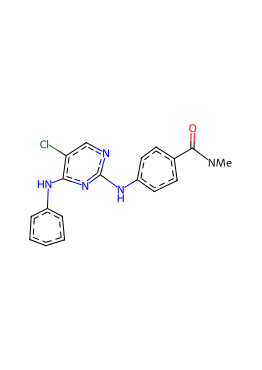 CNC(=O)c1ccc(Nc2ncc(Cl)c(Nc3ccccc3)n2)cc1